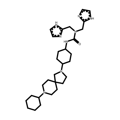 O=C(NC1CCC(N2CCC3(CCN(C4CCCCC4)CC3)C2)CC1)N(Cc1ncc[nH]1)Cc1ncc[nH]1